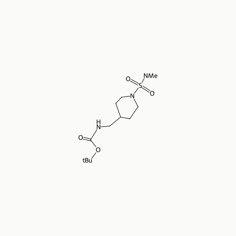 CNS(=O)(=O)N1CCC(CNC(=O)OC(C)(C)C)CC1